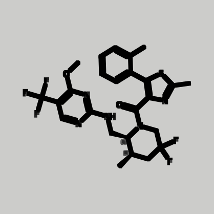 COc1nc(NC[C@@H]2[C@H](C)CC(F)(F)CN2C(=O)c2nc(C)sc2-c2ccccc2C)ncc1C(F)(F)F